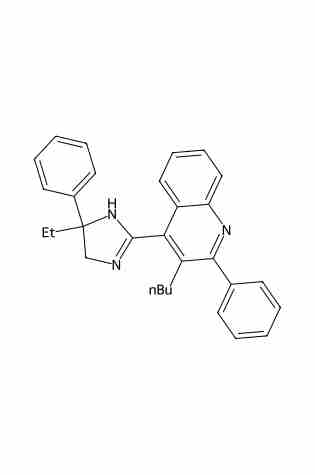 CCCCc1c(-c2ccccc2)nc2ccccc2c1C1=NCC(CC)(c2ccccc2)N1